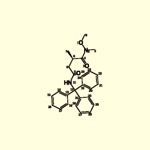 CON(C)C(=O)[C@H](C)CC(=O)NC(c1ccccc1)(c1ccccc1)c1ccccc1